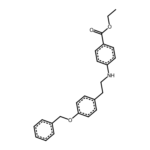 CCOC(=O)c1ccc(NCCc2ccc(OCc3ccccc3)cc2)cc1